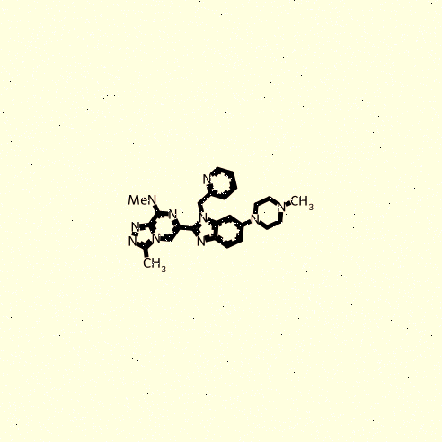 CNc1nc(-c2nc3ccc(N4CCN(C)CC4)cc3n2Cc2ccccn2)cn2c(C)nnc12